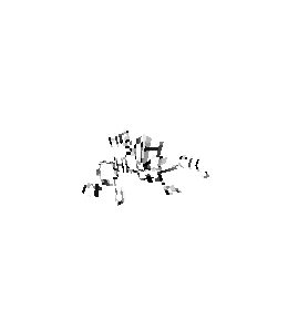 C=CC(=O)N(CC(=O)NC(Cc1ccc(Cl)c(Cl)c1)B(O)O)C1CC1